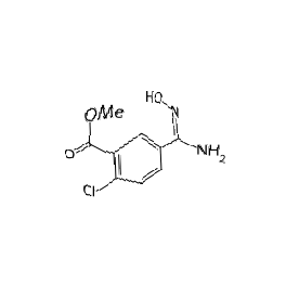 COC(=O)c1cc(/C(N)=N\O)ccc1Cl